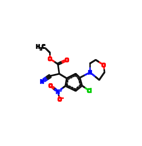 CCOC(=O)C(C#N)c1cc(N2CCOCC2)c(Cl)cc1[N+](=O)[O-]